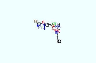 CCC[n+]1cc(Br)cc(C(=O)Nc2ccc(CCOC(=O)NC(C)OC(=O)NCCCCc3ccccc3)cc2)c1.[Cl-]